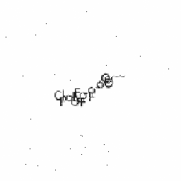 CCCCCC1COC(c2ccc(-c3ccc(-c4cc(F)c(C(F)(F)Oc5ccc(Cl)c(F)c5)c(F)c4)c(F)c3)cc2)OC1